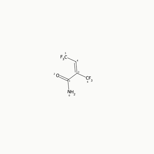 NC(=O)C(=CC(F)(F)F)C(F)(F)F